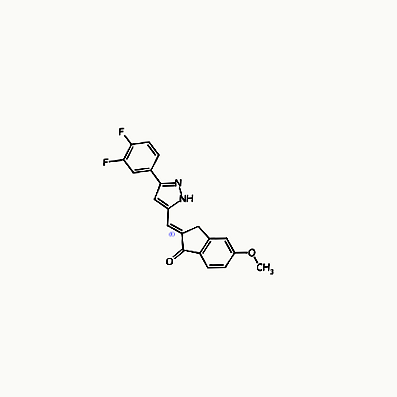 COc1ccc2c(c1)C/C(=C\c1cc(-c3ccc(F)c(F)c3)n[nH]1)C2=O